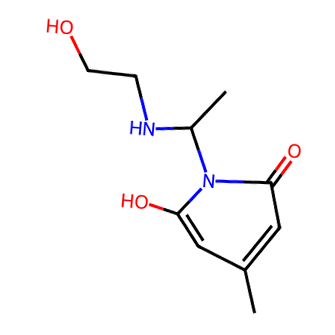 Cc1cc(O)n(C(C)NCCO)c(=O)c1